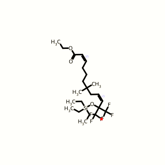 CCOC(=O)/C=C\CCCC(C)(C)C/C=C\C(O[Si](CC)(CC)CC)(C(F)(F)F)C(F)(F)F